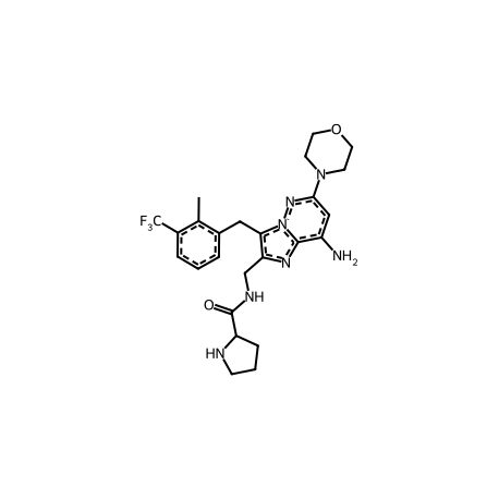 Cc1c(Cc2c(CNC(=O)C3CCCN3)nc3c(N)cc(N4CCOCC4)nn23)cccc1C(F)(F)F